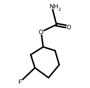 NC(=O)OC1CCCC(F)C1